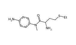 CCSCCC(N)C(=O)N(C)c1ccc(N)cc1